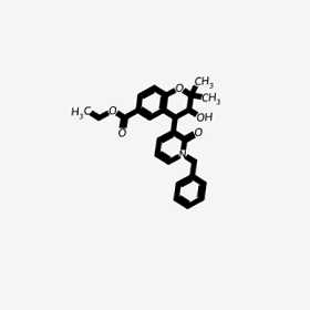 CCOC(=O)c1ccc2c(c1)C(c1cccn(Cc3ccccc3)c1=O)C(O)C(C)(C)O2